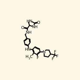 Cc1c(Nc2ccc(CNC(=O)C3CNC(=O)N3)cc2)ccc(N2CCC(C(F)(F)F)CC2)c1F